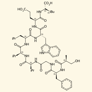 CC[C@H](C)[C@H](NC(=O)[C@H](CCC(=O)O)NC(=O)[C@H](Cc1c[nH]c2ccccc12)NC(=O)[C@H](CC(C)C)NC(=O)[C@@H](NC(=O)[C@@H](NC(=O)CNC(=O)[C@H](Cc1ccccc1)NC(=O)[C@@H](C)CO)C(C)C)C(C)C)C(=O)O